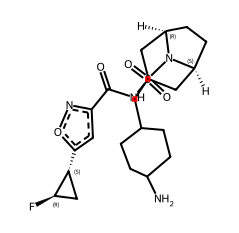 NC1CCC(CS(=O)(=O)N2[C@@H]3CC[C@H]2CC(NC(=O)c2cc([C@@H]4C[C@H]4F)on2)C3)CC1